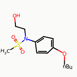 CCCCOc1ccc(N(CCO)S(C)(=O)=O)cc1